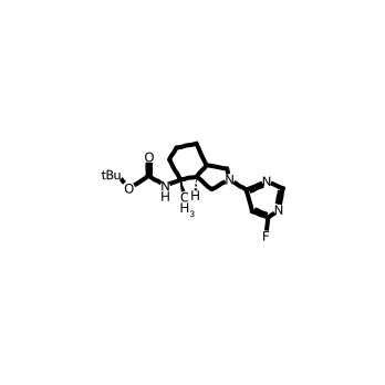 CC(C)(C)OC(=O)N[C@]1(C)CCCC2CN(c3cc(F)ncn3)C[C@H]21